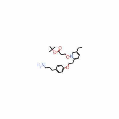 CCC1=CC=C(CCOc2ccc(CCCN)cc2)N(OCCC(=O)OC(C)(C)C)C1